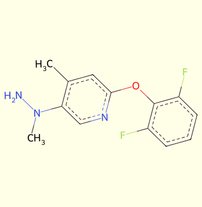 Cc1cc(Oc2c(F)cccc2F)ncc1N(C)N